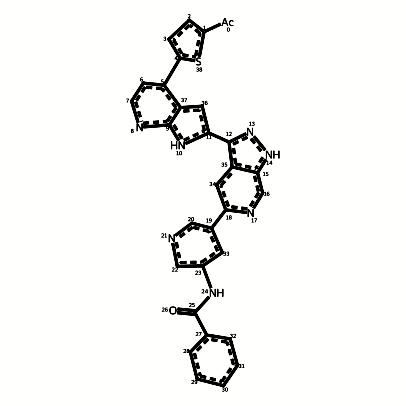 CC(=O)c1ccc(-c2ccnc3[nH]c(-c4n[nH]c5cnc(-c6cncc(NC(=O)c7ccccc7)c6)cc45)cc23)s1